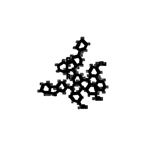 CC(C)(C)c1ccc2c(c1)B1c3cc(C(C)(C)C)ccc3N(c3ccc(C(C)(C)C)cc3-c3ccccc3)c3cc(N4c5ccc(-c6ccccc6)cc5C5(C)CCCCC45C)cc(c31)N2c1ccc2c(c1)sc1ccccc12